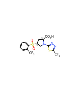 O=C(O)[C@@H]1C[C@@H](S(=O)(=O)c2ccccc2C(F)(F)F)CN1c1nnc(C(F)(F)F)s1